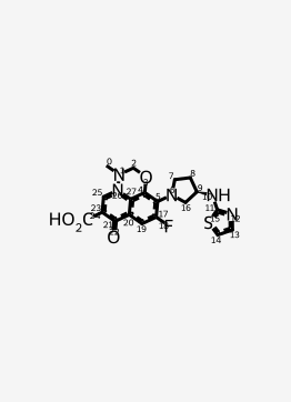 CN1COc2c(N3CC[C@@H](Nc4nccs4)C3)c(F)cc3c(=O)c(C(=O)O)cn1c23